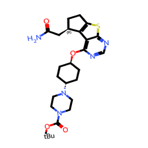 CC(C)(C)OC(=O)N1CCN([C@H]2CC[C@H](Oc3ncnc4sc5c(c34)[C@@H](CC(N)=O)CC5)CC2)CC1